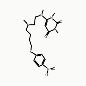 CN(CCCCSc1ccc([N+](=O)[O-])cc1)CCN(C)c1cc(=O)n(C)c(=O)n1C